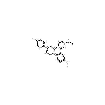 COc1ccc(C2=CC(c3ccc(F)cc3)=CCC2c2ccc(OC)cc2)cc1